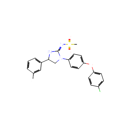 CS(=O)(=O)N=C1NC(c2cccc(C(F)(F)F)c2)CN1c1ccc(Oc2ccc(Cl)cc2)cc1